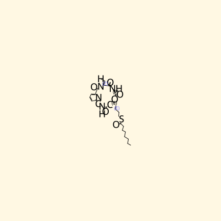 C/C=C1\NC(=O)c2cccc(n2)CNC(=O)C[C@@H](/C=C/CCSC(=O)CCCCCCC)OC(=O)[C@@H](C)NC1=O